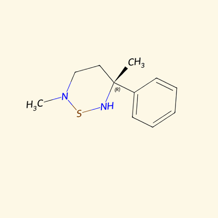 CN1CC[C@](C)(c2ccccc2)NS1